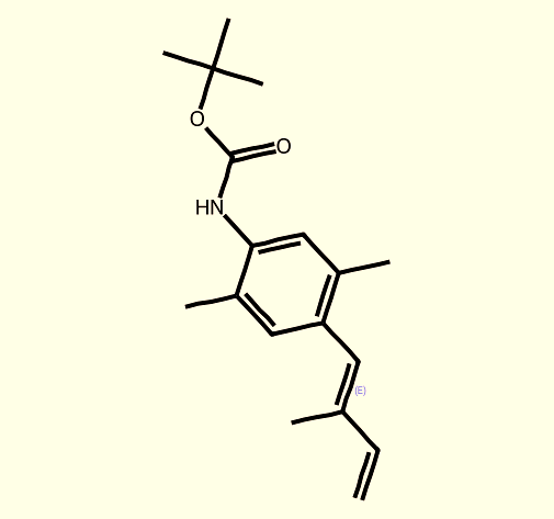 C=C/C(C)=C/c1cc(C)c(NC(=O)OC(C)(C)C)cc1C